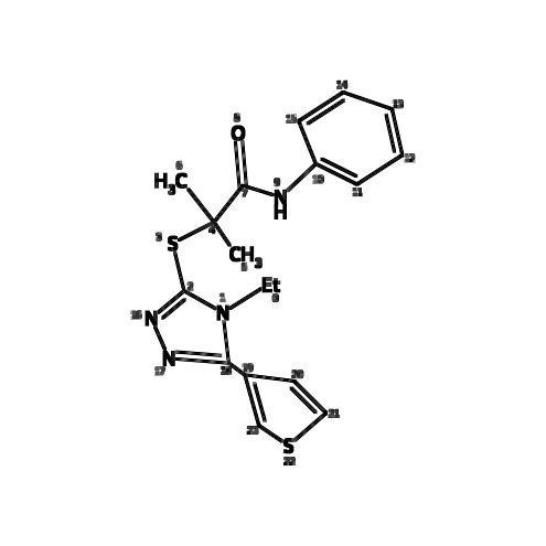 CCn1c(SC(C)(C)C(=O)Nc2ccccc2)nnc1-c1ccsc1